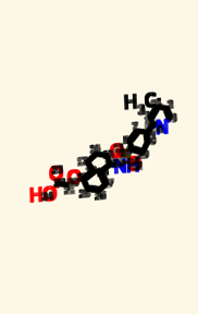 Cc1ccnc(-c2ccc(S(=O)(=O)NC3CCCc4c(OCC(=O)O)cccc43)cc2)c1